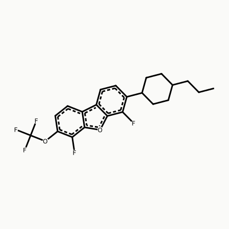 CCCC1CCC(c2ccc3c(oc4c(F)c(OC(F)(F)F)ccc43)c2F)CC1